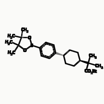 CCOC(=O)C(C)(C)[C@H]1CC[C@H](c2ccc(B3OC(C)(C)C(C)(C)O3)cc2)CC1